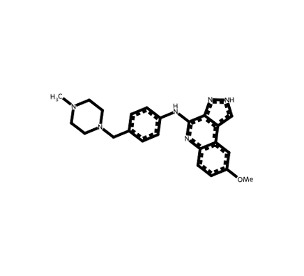 COc1ccc2nc(Nc3ccc(CN4CCN(C)CC4)cc3)c3n[nH]cc3c2c1